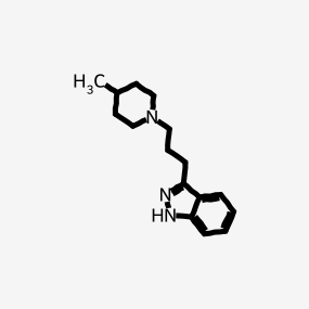 CC1CCN(CCCc2n[nH]c3ccccc23)CC1